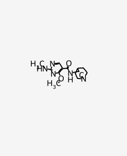 CNc1ncc(C(=O)NC2CN3CCC2CC3)c(OC)n1